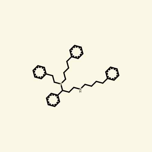 c1ccc(CCCCNCCC(c2ccccc2)N(CCCCc2ccccc2)CCc2ccccc2)cc1